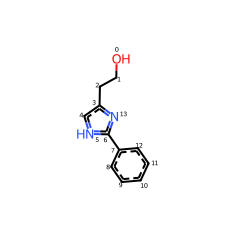 OCCc1c[nH]c(-c2ccccc2)n1